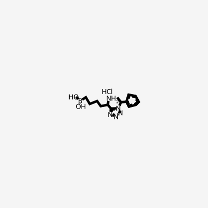 CC(c1ccccc1)n1nnnc1C(N)CCCCB(O)O.Cl